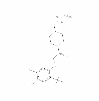 C=CS(=O)(=O)NC1CCN(C(=O)CNc2cc(Cl)c(Cl)cc2C(C)(F)F)CC1